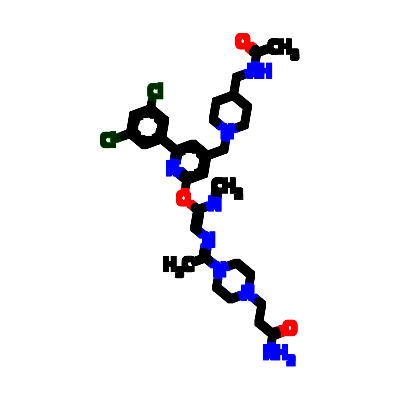 C=N/C(=C\N=C(/C)N1CCN(CCC(N)=O)CC1)Oc1cc(CN2CCC(CNC(C)=O)CC2)cc(-c2cc(Cl)cc(Cl)c2)n1